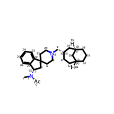 CC(=O)N(C)[C@H]1CC2(CCN(C[C@H]3CC[C@H]4CCC[C@@H](C4)C3)CC2)c2ccccc21